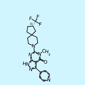 Cn1c(N2CCC3(CC[C@H](C(F)(F)F)C3)CC2)nc2[nH]nc(-c3ccncc3)c2c1=O